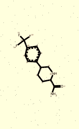 NC(=O)C1CCC(c2ccc(C(F)(F)F)cc2)CN1